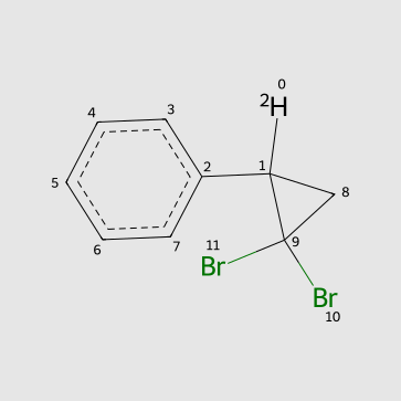 [2H]C1(c2ccccc2)CC1(Br)Br